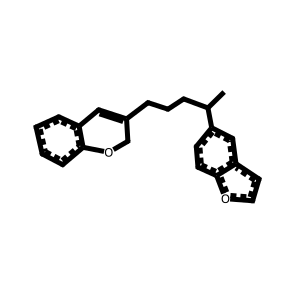 CC(CCCC1=Cc2ccccc2OC1)c1ccc2occc2c1